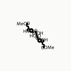 COC(=O)CCC1CNc2cc(OC(=O)C(O)C(O)C(=O)Oc3ccc4c(c3)NCC4CCC(=O)OC)ccc21